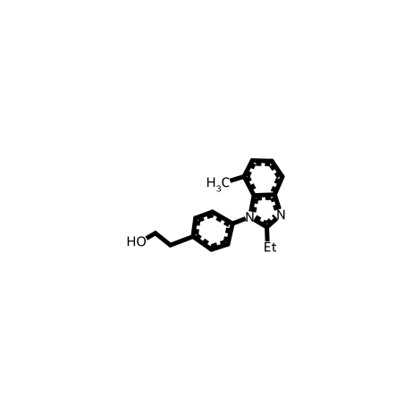 CCc1nc2cccc(C)c2n1-c1ccc(CCO)cc1